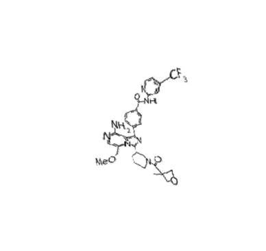 COCc1cnc(N)c2c(-c3ccc(C(=O)Nc4cc(C(F)(F)F)ccn4)cc3)nc([C@@H]3CCCN(C(=O)C4(C)COC4)C3)n12